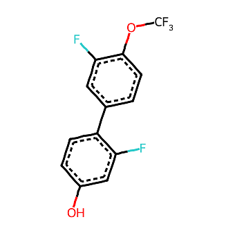 Oc1ccc(-c2ccc(OC(F)(F)F)c(F)c2)c(F)c1